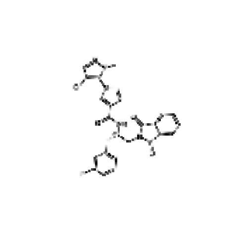 Cn1ncc(Cl)c1-n1ccc(C(=O)N[C@@H](Cc2cccc(F)c2)CN2C(=O)c3ccccc3C2=O)c1